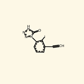 C#Cc1cccc(-n2nn[nH]c2=O)c1I